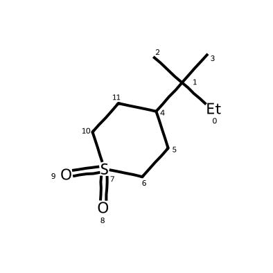 CCC(C)(C)C1CCS(=O)(=O)CC1